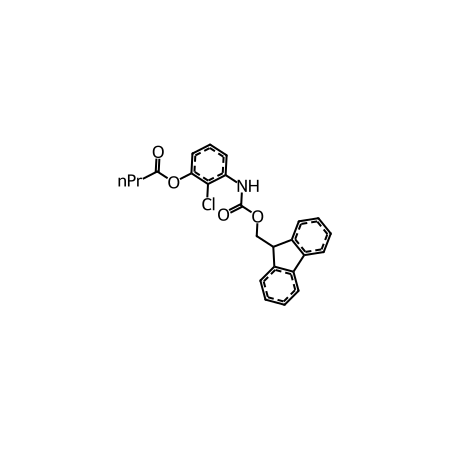 CCCC(=O)Oc1cccc(NC(=O)OCC2c3ccccc3-c3ccccc32)c1Cl